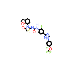 O=C(/N=C1\SCC(=O)N1c1cccc2c1OCC2)Nc1ccc(-c2ncn(-c3ccc(OC(F)(F)F)cc3)n2)cc1F